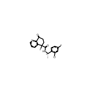 C[C@H](NC(=O)C1(F)CCC(=O)c2ncccc21)c1ccc(F)cc1Cl